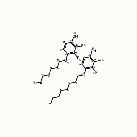 CCCCCCCCOc1ccc(O)c(F)c1F.CCCCCCCOc1ccc(O)c(F)c1F